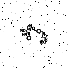 CC(C)(C)OC1CCN(Cc2ccc(COc3nccc(/C(C#N)=C4/Nc5ccccc5S4)n3)cc2)CC1